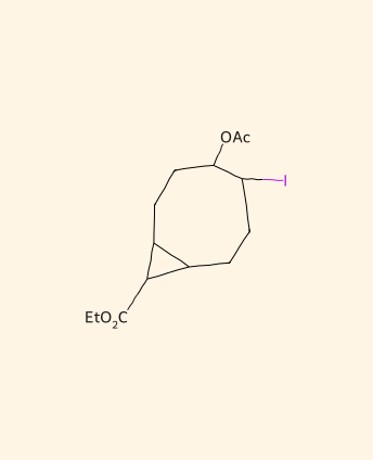 CCOC(=O)C1C2CCC(I)C(OC(C)=O)CCC21